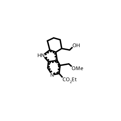 CCOC(=O)c1ncc2[nH]c3c(c2c1COC)C(CO)CCC3